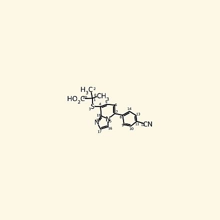 CC(C)(Sc1ccc(-c2ccc(C#N)cc2)n2ccnc12)C(=O)O